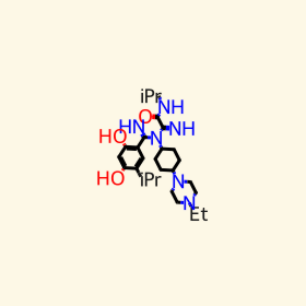 CCN1CCN(C2CCC(N(C(=N)C(=O)NC(C)C)C(=N)c3cc(C(C)C)c(O)cc3O)CC2)CC1